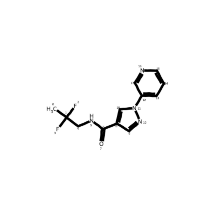 CC(F)(F)CNC(=O)c1cnn(-c2cccnc2)c1